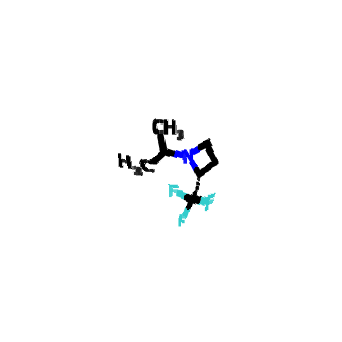 CC(C)N1CC[C@@H]1C(F)(F)F